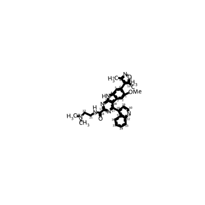 COc1cc2c(cc1-c1c(C)noc1C)[nH]c1nc(C(=O)NCCN(C)C)nc(-c3ccnc4ccccc34)c12